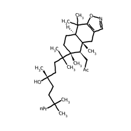 CCCC(C)(C)CC[C@](C)(O)CCC(C)(C)[C@]1(C)CC[C@H]2C(C)(C)c3oncc3C[C@]2(C)[C@H]1CC(C)=O